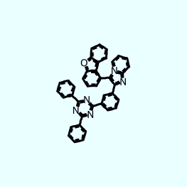 c1ccc(-c2nc(-c3ccccc3)nc(-c3cccc(-c4nc5ccccn5c4-c4cccc5oc6ccccc6c45)c3)n2)cc1